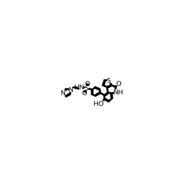 O=c1[nH]c2ccc(O)c(-c3ccc(S(=O)(=O)NCCn4ccnc4)cc3)c2c2ccsc12